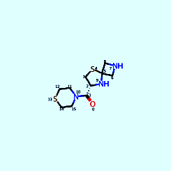 O=C([C@@H]1CSC2(CNC2)N1)N1CCSCC1